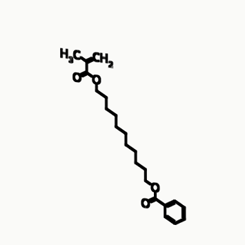 C=C(C)C(=O)OCCCCCCCCCCCOC(=O)c1ccccc1